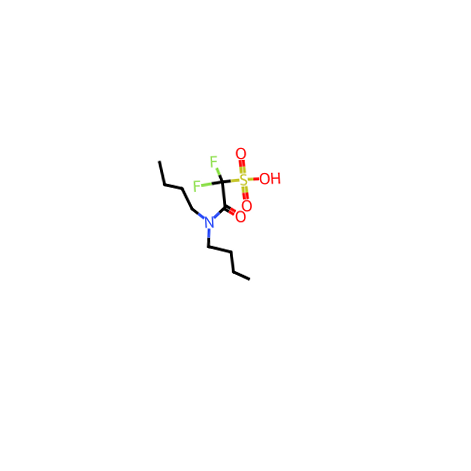 CCCCN(CCCC)C(=O)C(F)(F)S(=O)(=O)O